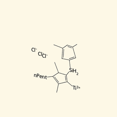 CCCCCC1=C(C)[C]([Ti+3])=C([SiH2]c2cc(C)cc(C)c2)C1C.[Cl-].[Cl-].[Cl-]